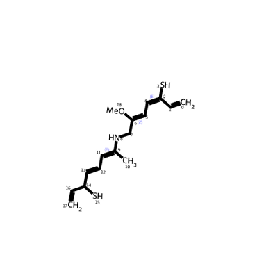 C=C/C(S)=C\C=C(\CN/C(C)=C/C=CC(S)C=C)OC